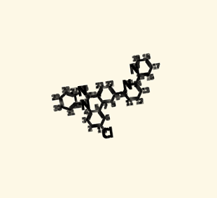 Clc1ccc2c(c1)c1cc(-c3cccc(-c4ccccn4)n3)ccc1c1nc3ccccc3n21